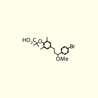 COC(CCc1cc(C)c(OC(C)(C)C(=O)O)c(C)c1)c1ccc(Br)cc1